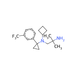 CC(C)(N)CN(C1CCC1)C1(c2cccc(C(F)(F)F)c2)CC1